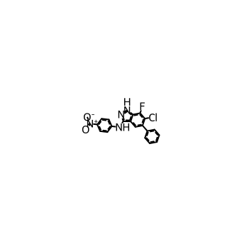 O=[N+]([O-])c1ccc(Nc2n[nH]c3c(F)c(Cl)c(-c4ccccc4)cc23)cc1